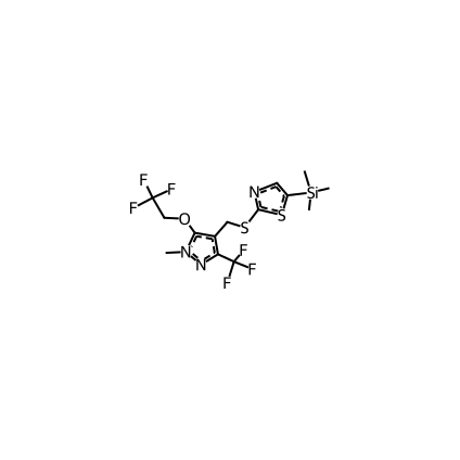 Cn1nc(C(F)(F)F)c(CSc2ncc([Si](C)(C)C)s2)c1OCC(F)(F)F